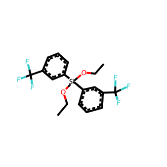 CCO[Si](OCC)(c1cccc(C(F)(F)F)c1)c1cccc(C(F)(F)F)c1